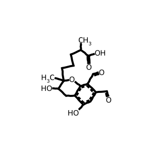 CC(CCCC1(C)Oc2c(C=O)c(C=O)cc(O)c2CC1O)C(=O)O